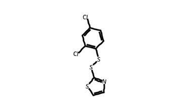 Clc1ccc(SSc2nccs2)c(Cl)c1